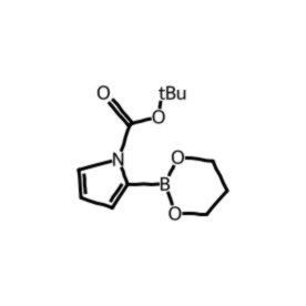 CC(C)(C)OC(=O)n1cccc1B1OCCCO1